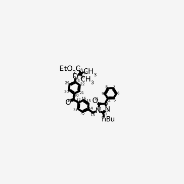 CCCCC1=NC(c2ccccc2)C(=O)N1Cc1ccc(C(=O)c2ccc(OC(C)(C)C(=O)OCC)cc2)cc1